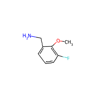 COc1c(F)cccc1CN